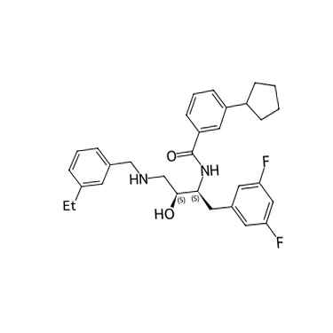 CCc1cccc(CNC[C@H](O)[C@H](Cc2cc(F)cc(F)c2)NC(=O)c2cccc(C3CCCC3)c2)c1